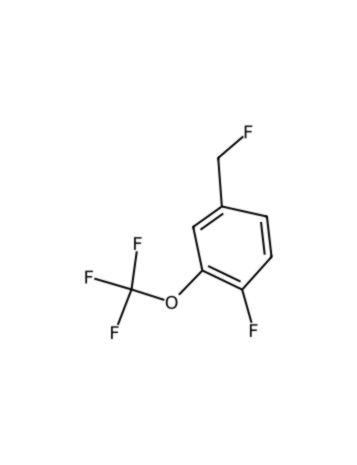 FCc1ccc(F)c(OC(F)(F)F)c1